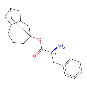 N[C@@H](Cc1ccccc1)C(=O)OC12CCCC3CC(CC3C1)C2